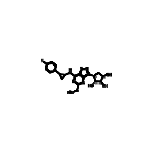 CCCCSc1nc(NC2CC2c2ccc(F)cc2)c2nnn([C@H]3C[C@@H](O)[C@@H](O)[C@@H]3O)c2n1